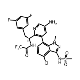 Cn1nc(NS(C)(=O)=O)c2c(Cl)ccc(-c3cc(N)cnc3[C@H](Cc3cc(F)cc(F)c3)NC(=O)C(F)(F)F)c21